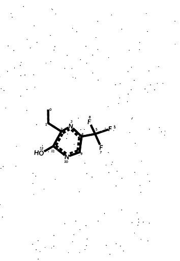 CCc1nc(C(F)(F)F)cnc1O